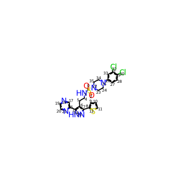 O=S(=O)(NCCc1c(-c2cccs2)n[nH]c1-c1cnccn1)N1CCN(c2ccc(Cl)c(Cl)c2)CC1